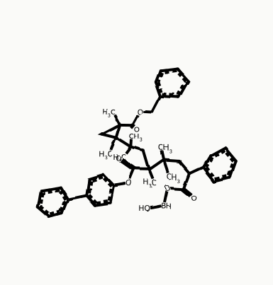 CC(C)(CC(C(=O)OBO)c1ccccc1)C(C)(CC(C)(C)C1(C)CC1(C)C(=O)OCc1ccccc1)C(=O)Oc1ccc(-c2ccccc2)cc1